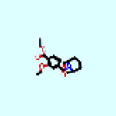 CCOC(=O)c1ccc(C(=O)N2C3CCCC2COC3)cc1OCC